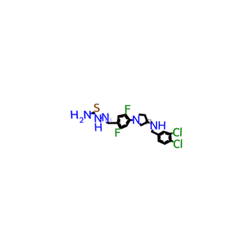 NC(=S)N/N=C/c1cc(F)c(N2CC[C@H](NCc3ccc(Cl)c(Cl)c3)C2)cc1F